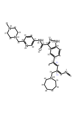 C=N/C=C(\C=C(/C)c1ccc2[nH]nc(C(=O)Nc3ccc(CN4CCN(C)CC4)nc3)c2c1)CN1CCCCCC1